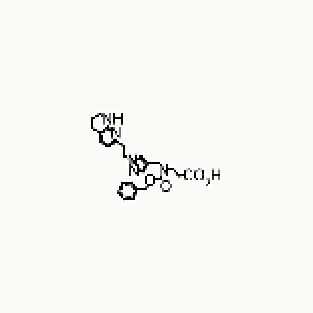 O=C(O)CCN(Cc1cnn(CCc2ccc3c(n2)NCCC3)c1)C(=O)OCc1ccccc1